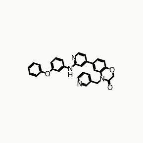 O=C1COc2ccc(-c3ccnc(Nc4cccc(Oc5ccccc5)c4)c3)cc2N1Cc1cccnc1